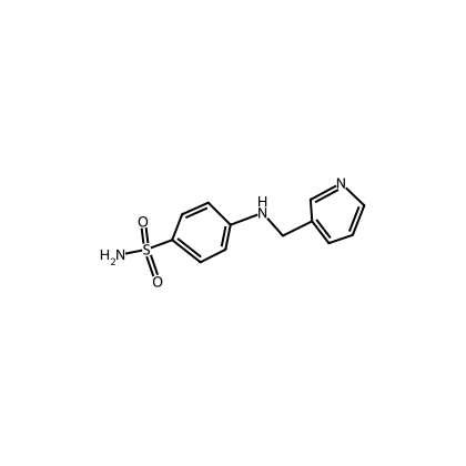 NS(=O)(=O)c1ccc(NCc2cccnc2)cc1